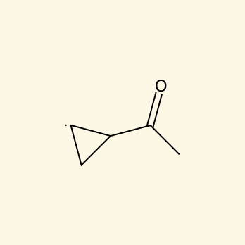 CC(=O)C1[CH]C1